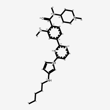 CCCCCNC1=C[SH](c2ccnc(-c3ccc(C(=O)N(C)C4CCN(C)CC4)c(OC)c3)n2)C=C1